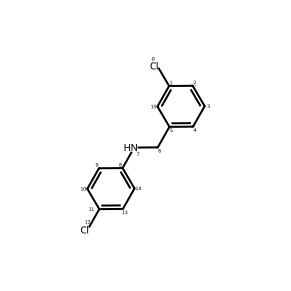 Clc1[c]ccc(CNc2ccc(Cl)cc2)c1